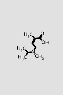 CC(=CCN(C)C(C)C)C(=O)O